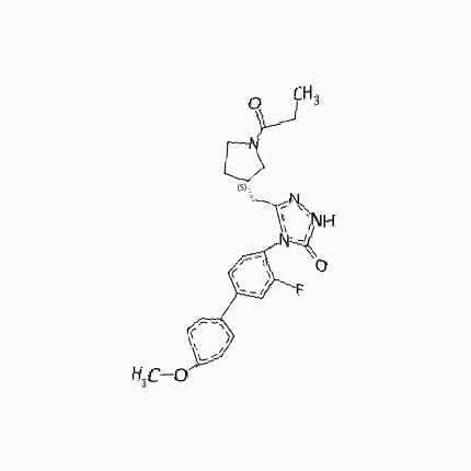 CCC(=O)N1CC[C@@H](Cc2n[nH]c(=O)n2-c2ccc(-c3ccc(OC)cc3)cc2F)C1